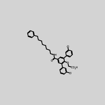 O=C(O)COc1c(-c2cccc(Cl)c2)cc(C(=O)NCCCCCCCCc2ccccc2)cc1-c1cccc(Cl)c1